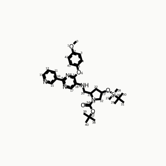 COc1ccc(Oc2nc(-c3cccnc3)ncc2NCC2CC(O[Si](C)(C)C(C)(C)C)CN2C(=O)OC(C)(C)C)cc1